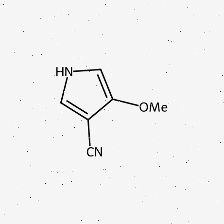 COc1c[nH]cc1C#N